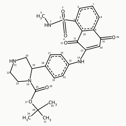 CNS(=O)(=O)c1cccc2c1C(=O)C(Nc1ccc(C3CNCCN3C(=O)OC(C)(C)C)cc1)=CC2=O